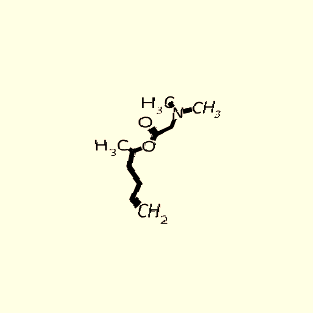 C=CCCC(C)OC(=O)CN(C)C